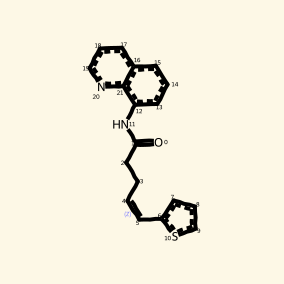 O=C(CC/C=C\c1cccs1)Nc1cccc2cccnc12